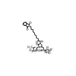 CC(C)C[C@H](NC(=O)[C@H](CCCNC(=N)N[N+](=O)[O-])NC(=O)CCCCCCCCCN1C(=O)c2ccccc2C1=O)B(O)O